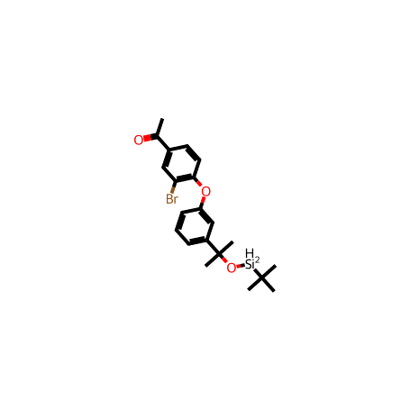 CC(=O)c1ccc(Oc2cccc(C(C)(C)O[SiH2]C(C)(C)C)c2)c(Br)c1